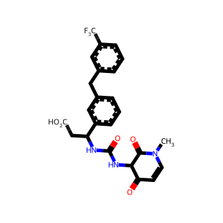 CN1C=CC(=O)C(NC(=O)NC(CC(=O)O)c2cccc(Cc3cccc(C(F)(F)F)c3)c2)C1=O